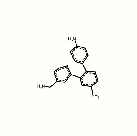 NCc1cccc(-c2cc(N)ccc2-c2ccc(N)cc2)c1